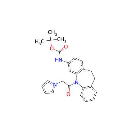 CC(C)(C)OC(=O)Nc1ccc2c(c1)N(C(=O)Cn1cccc1)c1ccccc1CC2